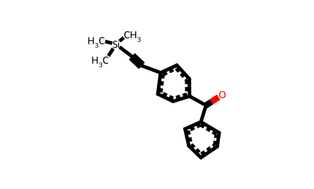 C[Si](C)(C)C#Cc1ccc(C(=O)c2ccccc2)cc1